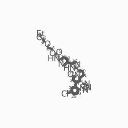 CCOCCOCCOC(=O)Nc1ccc(-c2cnc([C@@H]3CCc4cc(-c5cc(Cl)ccc5-n5cnnn5)cc(=O)n43)[nH]2)cn1